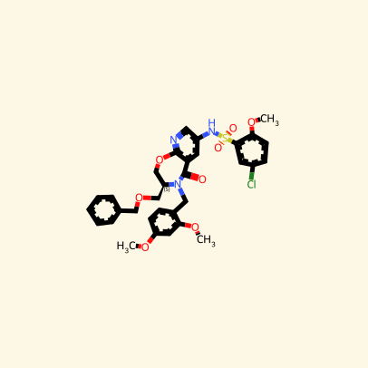 COc1ccc(CN2C(=O)c3cc(NS(=O)(=O)c4cc(Cl)ccc4OC)cnc3OC[C@@H]2COCc2ccccc2)c(OC)c1